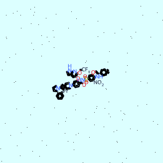 CC(C)c1ccccc1[C@H]1CCCN1C1CC2(CCN(c3ccc(C(=O)NS(=O)(=O)c4cc5c(c([N+](=O)[O-])c4)N[C@@H](C4CCC(C)(C)CC4)CO5)c(Oc4cc5cc[nH]c5nc4OCC(F)(F)F)c3)CC2)C1